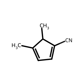 CC1=CC=C(C#N)C1C